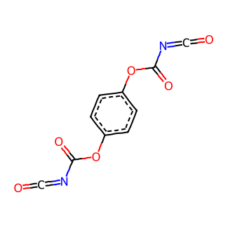 O=C=NC(=O)Oc1ccc(OC(=O)N=C=O)cc1